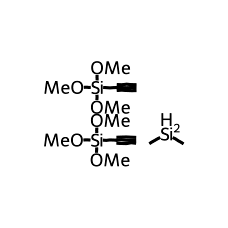 C#C[Si](OC)(OC)OC.C#C[Si](OC)(OC)OC.C[SiH2]C